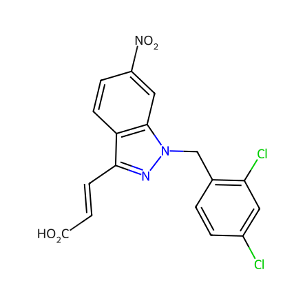 O=C(O)C=Cc1nn(Cc2ccc(Cl)cc2Cl)c2cc([N+](=O)[O-])ccc12